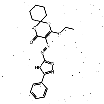 CCOC1=C(/N=N/c2nnc(-c3ccccc3)[nH]2)C(=O)OC2(CCCCC2)O1